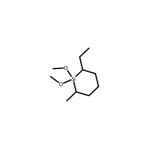 CCC1CCCC(C)[Si]1(OC)OC